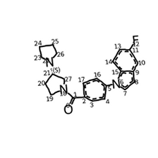 O=C(c1ccc(-n2ccc3cc(F)ccc32)cc1)N1CC[C@H](N2CCCC2)C1